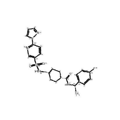 C[C@@H](NC(=O)[C@H]1CC[C@H](NS(=O)(=O)c2ccc(-n3cccn3)nc2)CC1)c1ccc(F)cc1